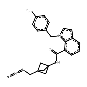 [N-]=[N+]=NCC12CC(NC(=O)c3cccc4ccn(Cc5ccc(C(F)(F)F)cc5)c34)(C1)C2